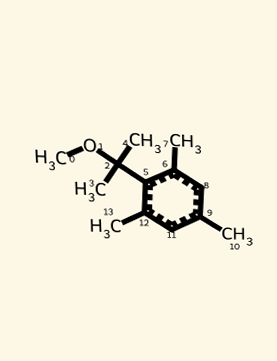 COC(C)(C)c1c(C)cc(C)cc1C